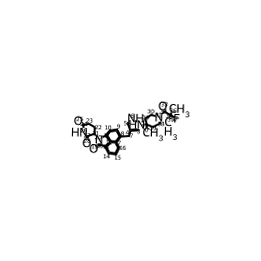 CC1(N/C=C(\C=N)Cc2ccc3c4c(cccc24)C(=O)N3C2CCC(=O)NC2=O)CCN(C(=O)C(C)(C)F)CC1